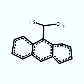 CC(S)c1c2ccccc2cc2ccccc12